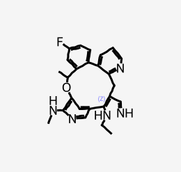 CCN/C1=C(\C=N)Cc2ncccc2-c2ccc(F)cc2C(C)Oc2cc1cnc2NC